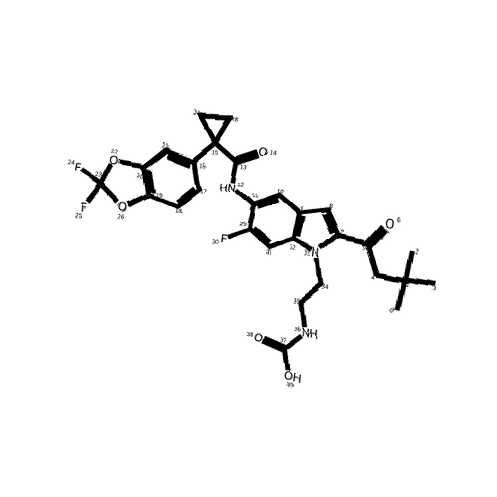 CC(C)(C)CC(=O)c1cc2cc(NC(=O)C3(c4ccc5c(c4)OC(F)(F)O5)CC3)c(F)cc2n1CCNC(=O)O